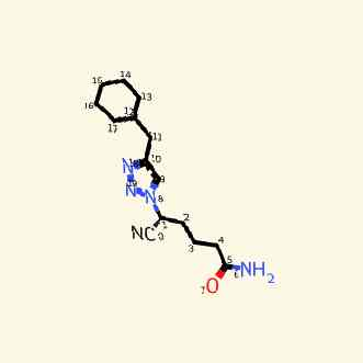 N#C[C@H](CCCC(N)=O)n1cc([CH]C2CCCCC2)nn1